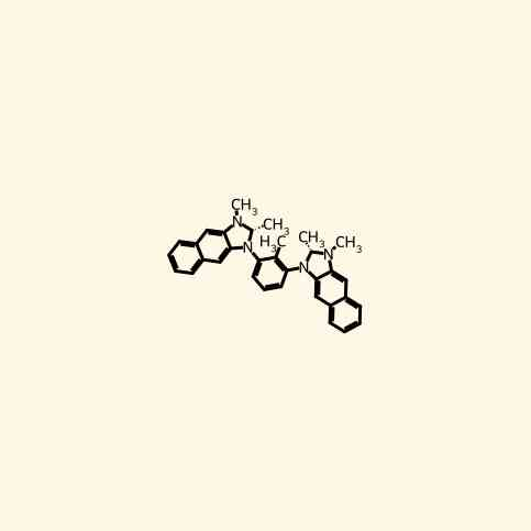 Cc1c(N2c3cc4ccccc4cc3N(C)[C@H]2C)cccc1N1c2cc3ccccc3cc2N(C)[C@@H]1C